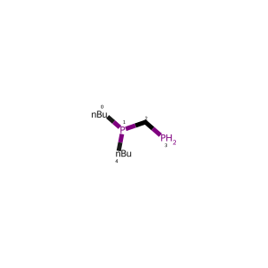 CCCCP(CP)CCCC